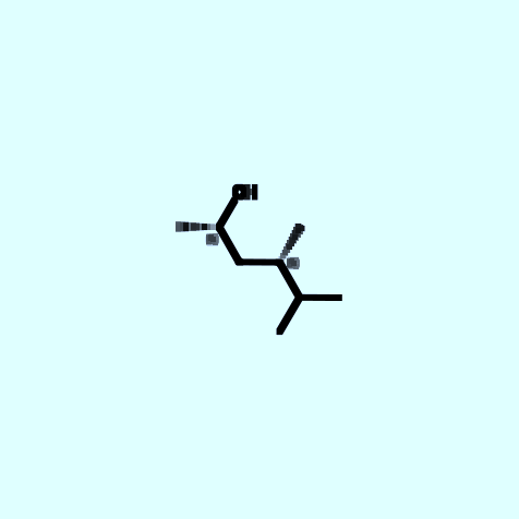 CC(C)[C@@H](C)C[C@H](C)O